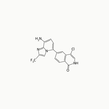 Nc1ccc(-c2ccc3c(=O)[nH]cc(Cl)c3c2)n2cc(C(F)(F)F)nc12